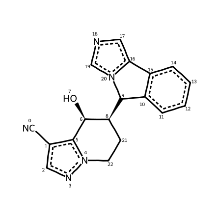 N#Cc1cnn2c1[C@@H](O)[C@@H](C1c3ccccc3-c3cncn31)CC2